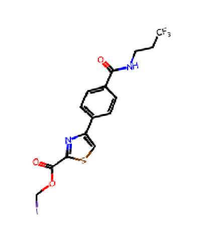 O=C(NCCC(F)(F)F)c1ccc(-c2csc(C(=O)OCI)n2)cc1